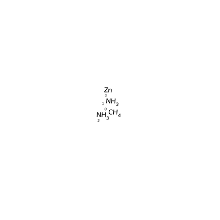 C.N.N.[Zn]